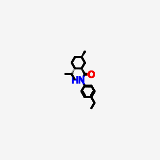 CCc1ccc(NC(=O)[C@@H]2C[C@H](C)CC[C@H]2C(C)C)cc1